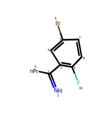 CCCC(=N)c1cc(Br)ccc1F